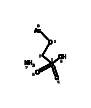 CC(=O)OCS(=O)(=O)O.N